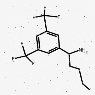 CCCCC(N)c1cc(C(F)(F)F)cc(C(F)(F)F)c1